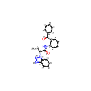 CNC(C(=O)Nc1ccccc1C(=O)c1ccccc1)n1nnc2ccccc21